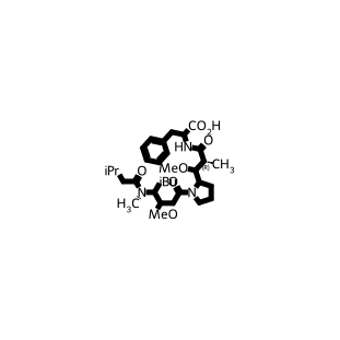 CCC(C)C(C(CC(=O)N1CCCC1C(OC)[C@@H](C)C(=O)NC(Cc1ccccc1)C(=O)O)OC)N(C)C(=O)CC(C)C